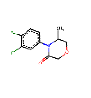 CC1COCC(=O)N1c1ccc(F)c(F)c1